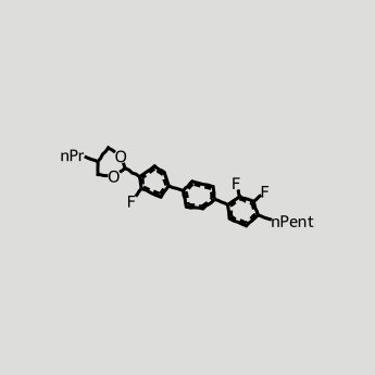 CCCCCc1ccc(-c2ccc(-c3ccc(C4OCC(CCC)CO4)c(F)c3)cc2)c(F)c1F